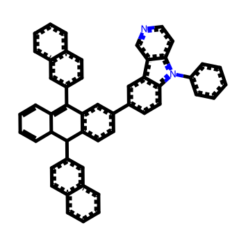 C1=CC2=C(c3ccc4ccccc4c3)c3cc(-c4ccc5c(c4)c4cnccc4n5-c4ccccc4)ccc3C(c3ccc4ccccc4c3)C2C=C1